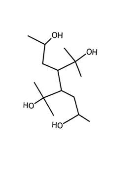 CC(O)CC(C(CC(C)O)C(C)(C)O)C(C)(C)O